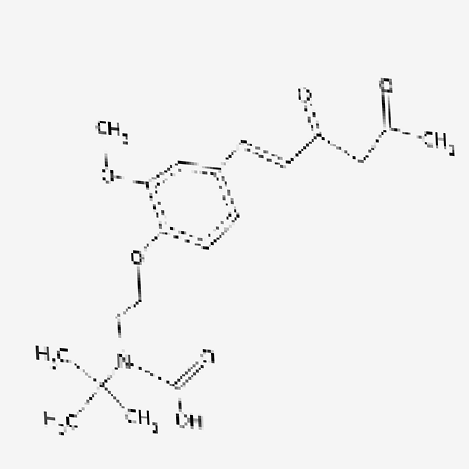 COc1cc(C=CC(=O)CC(C)=O)ccc1OCCN(C(=O)O)C(C)(C)C